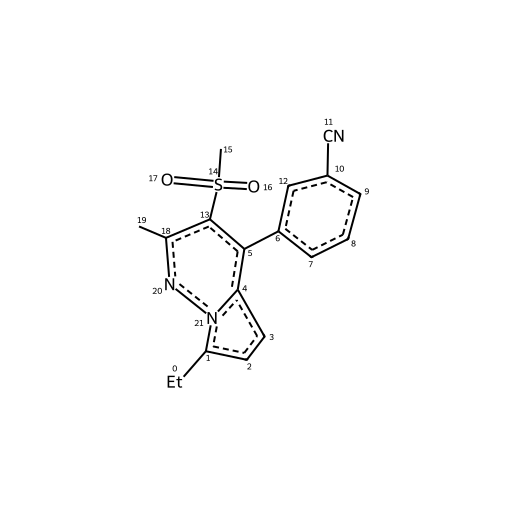 CCc1ccc2c(-c3cccc(C#N)c3)c(S(C)(=O)=O)c(C)nn12